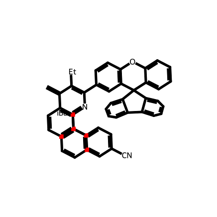 C=C(/C(CC)=C(\N=C(\c1ccccc1)C(C)CC)c1ccc2c(c1)C1(c3ccccc3O2)c2ccccc2-c2ccccc21)c1cccc(-c2ccc(C#N)cc2)c1